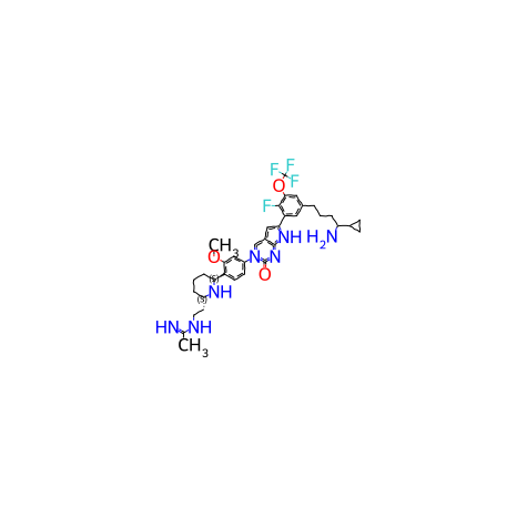 COc1cc(-n2cc3cc(-c4cc(CCCC(N)C5CC5)cc(OC(F)(F)F)c4F)[nH]c3nc2=O)ccc1[C@@H]1CCC[C@@H](CCNC(C)=N)N1